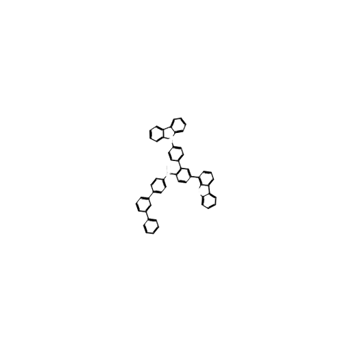 c1ccc(-c2cccc(-c3ccc(Nc4ccc(-c5cccc6c5oc5ccccc56)cc4-c4ccc(-n5c6ccccc6c6ccccc65)cc4)cc3)c2)cc1